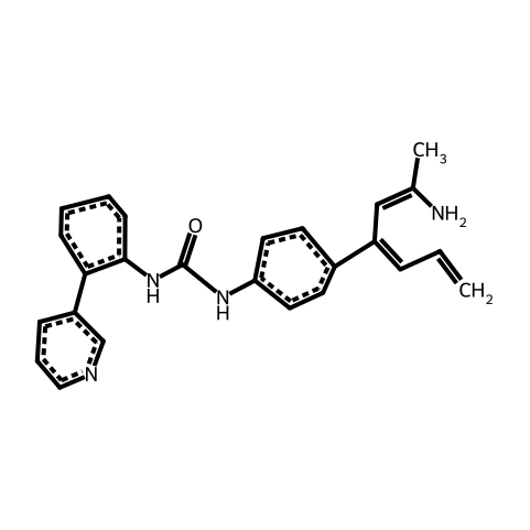 C=C/C=C(\C=C(\C)N)c1ccc(NC(=O)Nc2ccccc2-c2cccnc2)cc1